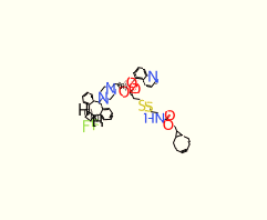 O=C(CCSSCCNC(=O)OCC1C2CCC#CCCC21)O[C@@H](COc1cccc2ncccc12)CN1CCN(C2c3ccccc3[C@H]3CC(F)(F)[C@H]3c3ccccc32)CC1